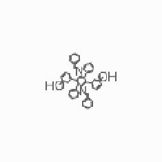 Oc1cccc(-c2c3c4ccccc4n(Cc4ccccc4)c3c(-c3cccc(O)c3)c3c4ccccc4n(Cc4ccccc4)c23)c1